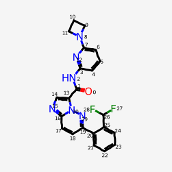 O=C(Nc1cccc(N2CCC2)n1)c1cnc2ccc(-c3ccccc3C(F)F)nn12